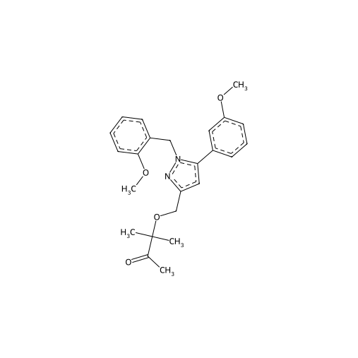 COc1cccc(-c2cc(COC(C)(C)C(C)=O)nn2Cc2ccccc2OC)c1